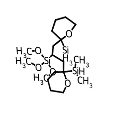 CO[Si](OC)(OC)C(CC1([SiH3])CCCCO1)CC1([SiH](C)C)CCCCO1